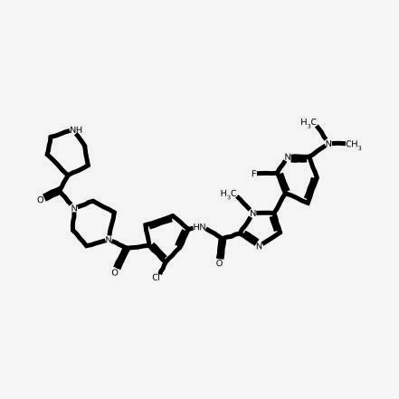 CN(C)c1ccc(-c2cnc(C(=O)Nc3ccc(C(=O)N4CCN(C(=O)C5CCNCC5)CC4)c(Cl)c3)n2C)c(F)n1